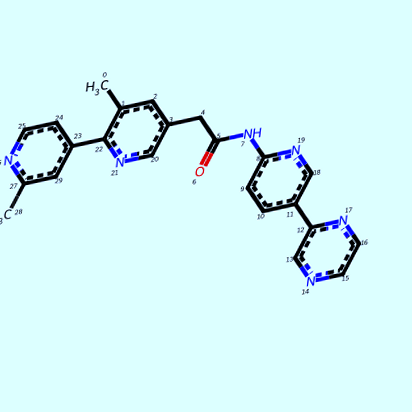 Cc1cc(CC(=O)Nc2ccc(-c3cnccn3)cn2)cnc1-c1ccnc(C(F)(F)F)c1